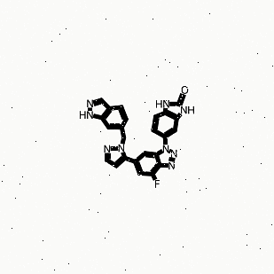 O=c1[nH]c2ccc(-n3nnc4c(F)cc(-c5ccnn5Cc5ccc6cn[nH]c6c5)cc43)cc2[nH]1